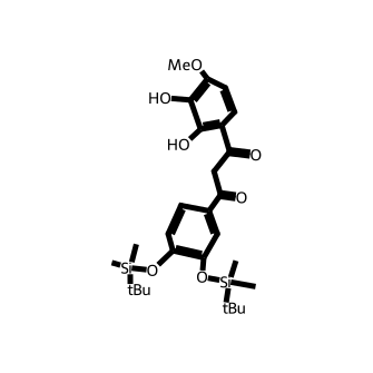 COc1ccc(C(=O)CC(=O)c2ccc(O[Si](C)(C)C(C)(C)C)c(O[Si](C)(C)C(C)(C)C)c2)c(O)c1O